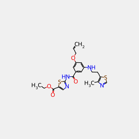 C=CCOc1cc(NCCc2scnc2C)cc(C(=O)Nc2ncc(C(=O)OCC)s2)c1